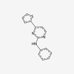 c1ccc(Nc2nccc(-c3cccs3)n2)cc1